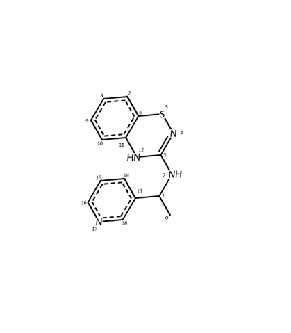 CC(NC1=NSc2ccccc2N1)c1cccnc1